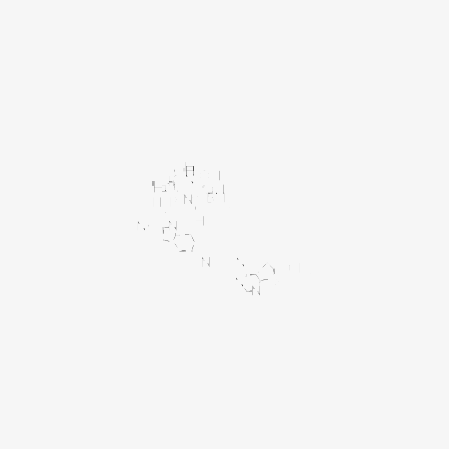 BC1(O)NC(O)(O)C(B)(O)N(CCn2c(C#N)cc3c(C)c(CN4CCC(Nc5ncnc6sc(CC(F)(F)F)cc56)CC4)ccc32)C1(B)O